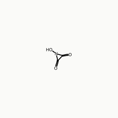 O=c1c(=O)n1O